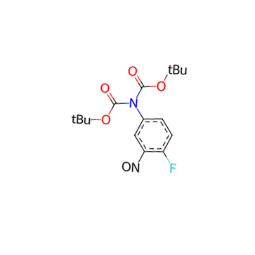 CC(C)(C)OC(=O)N(C(=O)OC(C)(C)C)c1ccc(F)c(N=O)c1